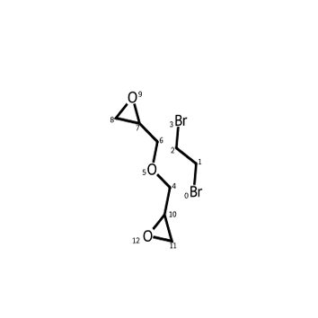 BrCCBr.C(OCC1CO1)C1CO1